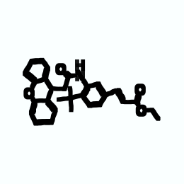 CCOC(=O)/C=C/c1ccc(C(C)(C)C)c(NC(=O)CC2c3ccccc3Oc3ccccc32)c1